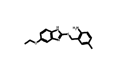 CCOc1ccc2[nH]c(SCc3cc(C)ccc3N)nc2c1